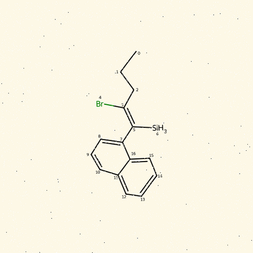 CCCC(Br)=C([SiH3])c1cccc2ccccc12